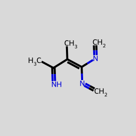 C=NC(N=C)=C(C)C(C)=N